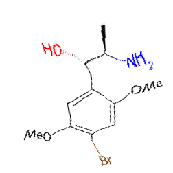 COc1cc([C@H](O)[C@@H](C)N)c(OC)cc1Br